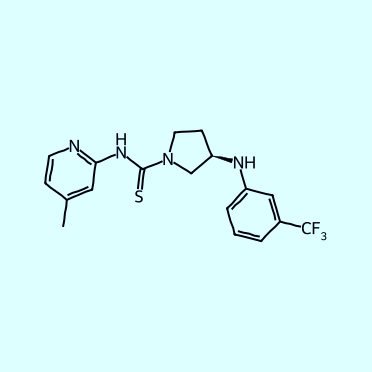 Cc1ccnc(NC(=S)N2CC[C@@H](Nc3cccc(C(F)(F)F)c3)C2)c1